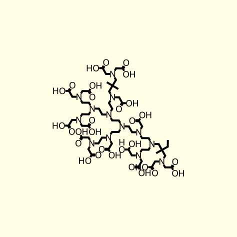 CCC(C)(CN(CCN(CCN(CCN(CCN(CCN(CC(=O)O)CC(=O)O)CCN(CC(=O)O)CC(=O)O)CCN(CC(=O)O)CC(C)(C)CN(CC(=O)O)CC(=O)O)CCN(CCN(CC(=O)O)CC(=O)O)CC(=O)O)CC(=O)O)CCN(CC(=O)O)CC(O)O)CN(CC(=O)O)CC(=O)O